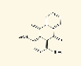 CC(=O)Nc1ccc(NC(C)=O)c2c1C(=O)c1ccccc1C2=O